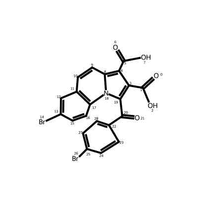 O=C(O)c1c(C(=O)O)c2ccc3cc(Br)ccc3n2c1C(=O)c1ccc(Br)cc1